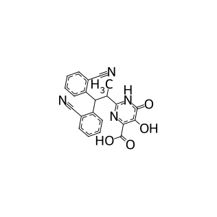 CC(c1nc(C(=O)O)c(O)c(=O)[nH]1)C(c1ccccc1C#N)c1ccccc1C#N